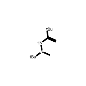 C=C(NN(C)C(C)(C)C)C(C)(C)C